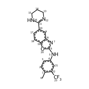 Cc1ccc(Nc2nc3cc(C4=NCCCN4)ccc3o2)cc1C(F)(F)F